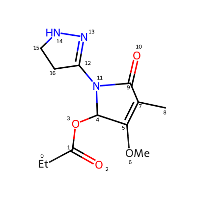 CCC(=O)OC1C(OC)=C(C)C(=O)N1C1=NNCC1